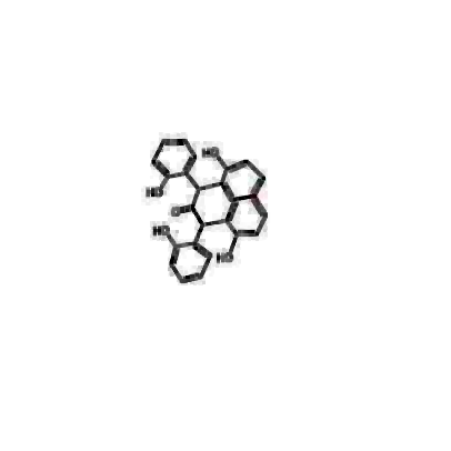 O=C(C(c1ccccc1O)c1ccccc1O)C(c1ccccc1O)c1ccccc1O